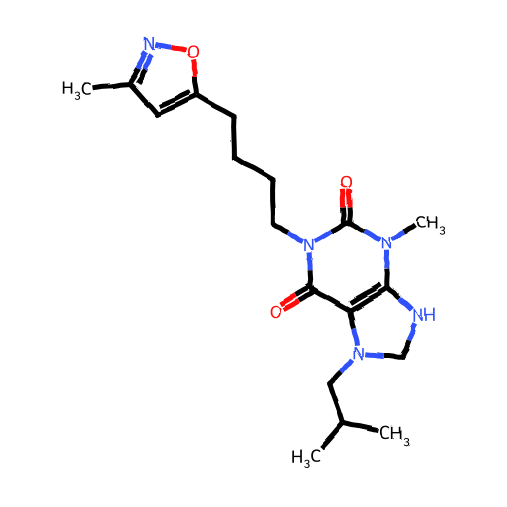 Cc1cc(CCCCn2c(=O)c3c(n(C)c2=O)NCN3CC(C)C)on1